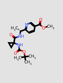 COC(=O)c1ccc([C@@H](C)NC(=O)C2(NC(=O)OC(C)(C)C)CC2)nc1